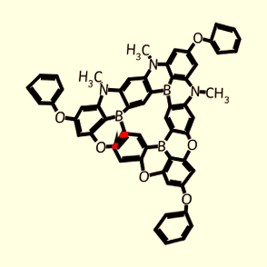 CN1c2cc3c(cc2B2c4ccccc4Oc4cc(Oc5ccccc5)cc1c42)B1c2cc4c(cc2N(C)c2cc(Oc5ccccc5)cc(c21)N3C)Oc1cc(Oc2ccccc2)cc2c1B4c1ccccc1O2